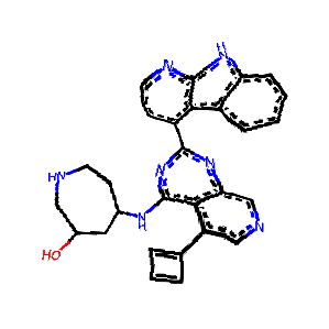 OC1CNCCC(Nc2nc(-c3ccnc4[nH]c5ccccc5c34)nc3cncc(C4=CC=C4)c23)C1